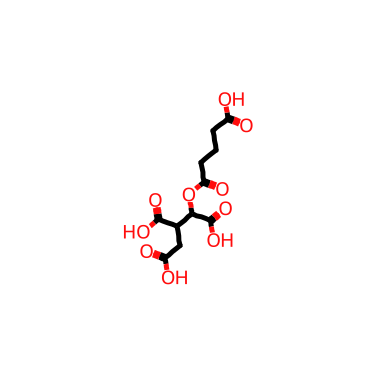 O=C(O)CCCC(=O)OC(C(=O)O)C(CC(=O)O)C(=O)O